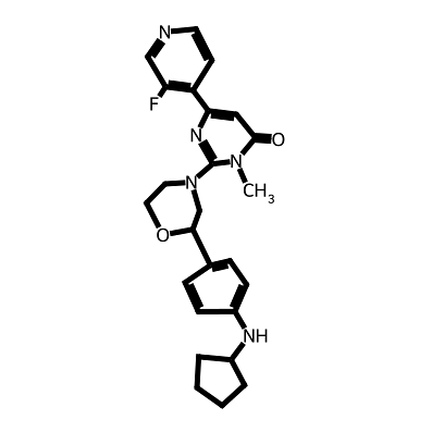 Cn1c(N2CCOC(c3ccc(NC4CCCC4)cc3)C2)nc(-c2ccncc2F)cc1=O